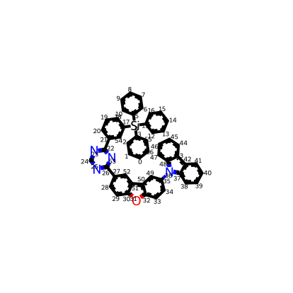 c1ccc([Si](c2ccccc2)(c2ccccc2)c2cccc(-c3ncnc(-c4ccc5oc6ccc(-n7c8ccccc8c8ccccc87)cc6c5c4)n3)c2)cc1